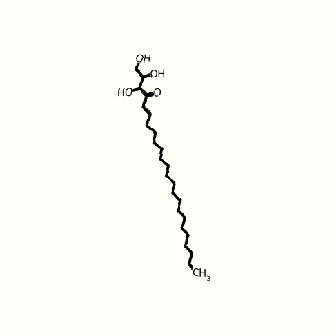 CCCCCCCCCCCCCCCCCCCCC(=O)C(O)C(O)CO